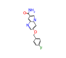 NC(=O)c1cnc2cc(OCc3ccc(F)cc3)cnc2c1